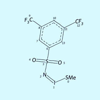 CS/I=N\S(=O)(=O)c1cc(C(F)(F)F)cc(C(F)(F)F)c1